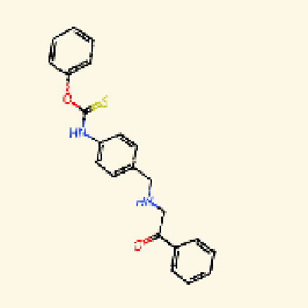 O=C(CNCc1ccc(NC(=S)Oc2ccccc2)cc1)c1ccccc1